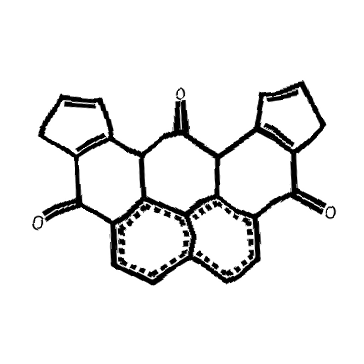 O=C1C2=C(C=CC2)C2C(=O)C3C4=C(CC=C4)C(=O)c4ccc5ccc1c2c5c43